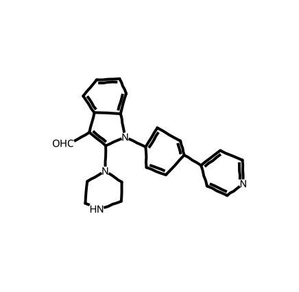 O=Cc1c(N2CCNCC2)n(-c2ccc(-c3ccncc3)cc2)c2ccccc12